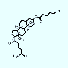 CCCCCC(=O)OC1CC[C@@]2(C)C(CC[C@H]3[C@@H]4CC[C@H]([C@H](C)CCCC(C)C)[C@@]4(C)CC[C@@H]32)C1